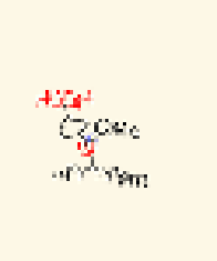 CCCCCC(CCC)CO/C(=C/OC)C1=CC=C(C(O)O)C=CC1